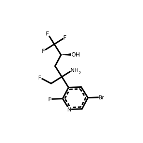 NC(CF)(C[C@H](O)C(F)(F)F)c1cc(Br)cnc1F